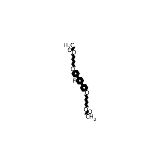 C=CC(=O)OCCCCCCOc1ccc(-c2ccc(-c3ccc(OCCCCCCOC(=O)C=C)cc3)c(F)c2)cc1